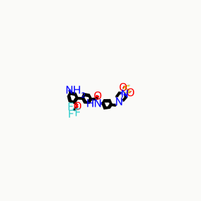 CS(=O)(=O)N1CCN(Cc2ccc(NC(=O)c3ccc(-c4cc(N)ccc4OC(F)(F)F)cc3)cc2)CC1